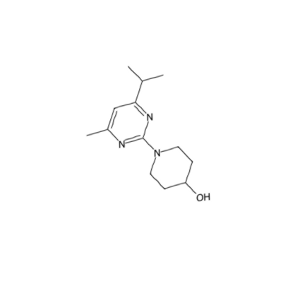 Cc1cc(C(C)C)nc(N2CCC(O)CC2)n1